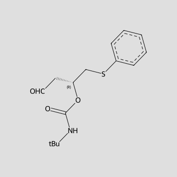 CC(C)(C)NC(=O)O[C@H](CC=O)CSc1ccccc1